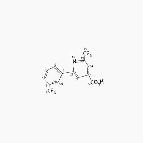 O=C(O)c1cc(-c2cccc(C(F)(F)F)c2)nc(C(F)(F)F)c1